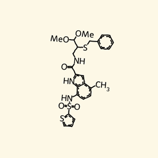 COC(OC)C(CNC(=O)c1cc2c(C)ccc(NS(=O)(=O)c3cccs3)c2[nH]1)SCc1ccccc1